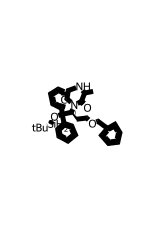 CC1NCCN([C@@H](CCOCc2ccccc2)C(O[SiH2]C(C)(C)C)(c2ccccc2)c2ccccc2)C1=O